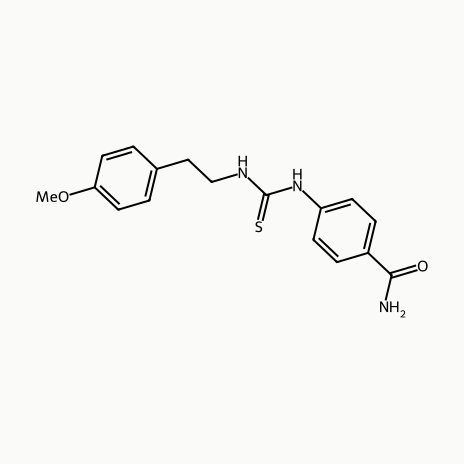 COc1ccc(CCNC(=S)Nc2ccc(C(N)=O)cc2)cc1